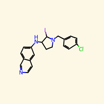 Clc1ccc(CN2CCC(Nc3ccc4cnccc4c3)C2I)cc1